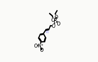 CCOP(=O)(OCC)OC/C=C/c1ccc([N+](=O)[O-])cc1